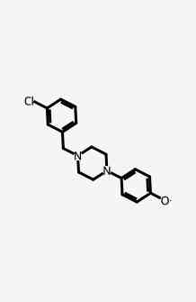 [O]c1ccc(N2CCN(Cc3cccc(Cl)c3)CC2)cc1